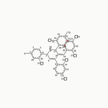 Cc1ccc(C(C=Cc2ccc(Cl)cc2Cl)SC(C=Cc2ccc(Cl)cc2Cl)c2ccc(C)cc2Cl)c(Cl)c1